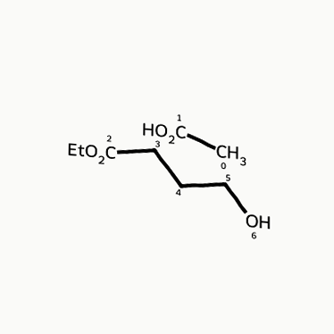 CC(=O)O.CCOC(=O)CCCO